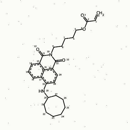 C=CC(=O)OCCCCCN1C(=O)c2cccc3c(NC4CCCCCCC4)ccc(c23)C1=O